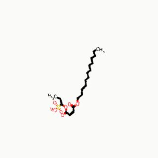 CCCCCCCCCCCCCCOC(=O)/C=C\C(=O)OC(CC)S(=O)(=O)O